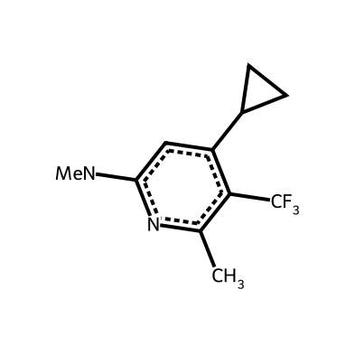 CNc1cc(C2CC2)c(C(F)(F)F)c(C)n1